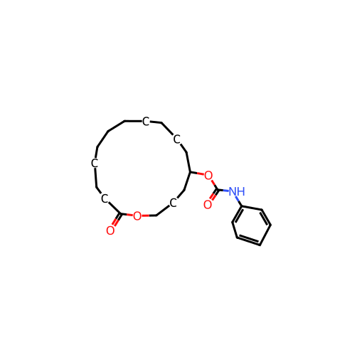 O=C1CCCCCCCCCCC(OC(=O)Nc2ccccc2)CCCO1